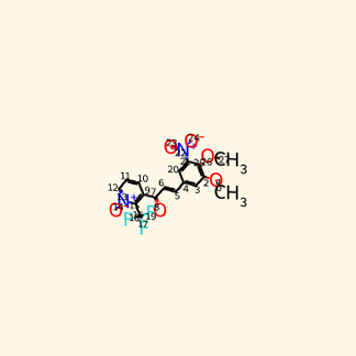 COc1cc(C=CC(=O)c2ccc[n+]([O-])c2C(F)(F)F)cc([N+](=O)[O-])c1OC